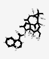 CC1=CC23C(=O)[C@@H](C=C(CO)[C@@H](O)[C@]2(O)[C@H]1OC(=O)c1ccnc2ccccc12)[C@H]1[C@@H](CC3C)C1(C)C